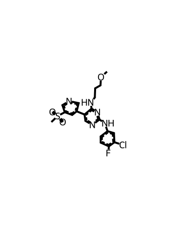 COCCCNc1nc(Nc2ccc(F)c(Cl)c2)ncc1-c1cncc(S(C)(=O)=O)c1